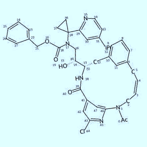 CC(=O)N1CC=CCc2cccc(c2)C[C@@H]([C@H](O)CN(C(=O)OCc2ccccc2)C2(c3cc(C(C)C)ccn3)CC2)NC(=O)c2cc(Cl)nc1c2